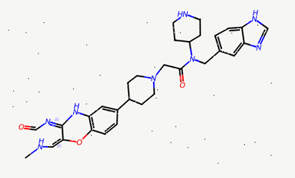 CN/C=C1/Oc2ccc(C3CCN(CC(=O)N(Cc4ccc5[nH]cnc5c4)C4CCNCC4)CC3)cc2N/C1=N/C=O